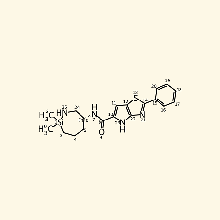 C[Si]1(C)CCC[C@@H](NC(=O)c2cc3sc(-c4ccccc4)nc3[nH]2)CN1